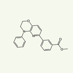 COC(=O)c1cccc(-c2ccc3c(n2)N(c2ccccc2)CCO3)c1